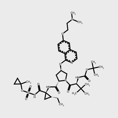 CC[C@@H]1C[C@]1(NC(=O)[C@@H]1C[C@@H](Oc2nccc3cc(OCCN(C)C)ccc23)CN1C(=O)[C@@H](NC(=O)OC(C)(C)C)C(C)(C)C)C(=O)NS(=O)(=O)OC1(C)CC1